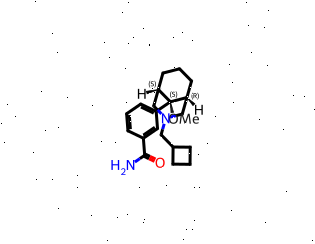 CO[C@]1(c2cccc(C(N)=O)c2)[C@@H]2CCC[C@H]1CN(CC1CCC1)C2